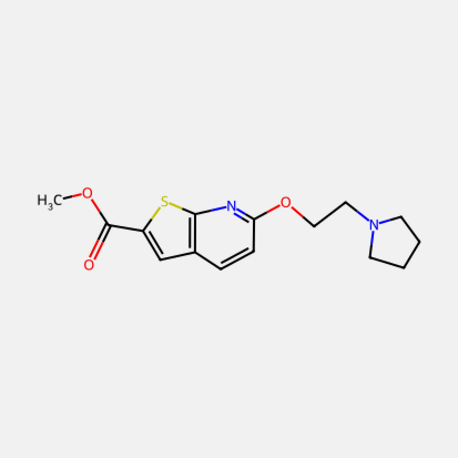 COC(=O)c1cc2ccc(OCCN3CCCC3)nc2s1